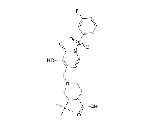 CC(C)(C)C1CN(Cc2ccn(S(=O)(=O)c3cccc(F)c3)c(=O)c2O)CCN1C(=O)O